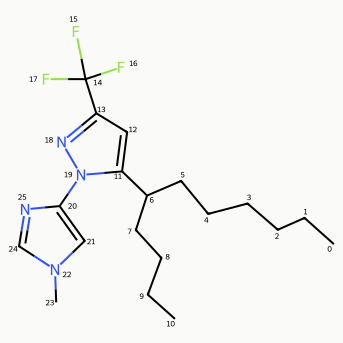 CCCCCCC(CCCC)c1cc(C(F)(F)F)nn1-c1cn(C)cn1